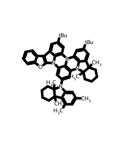 Cc1cc(C)c2c(c1)N(c1cc3c4c(c1)-n1c5oc6ccccc6c5c5cc(C(C)(C)C)cc(c51)B4c1cc(C(C)(C)C)cc4c1N3C1(C)CCCCC41C)C1(C)CCCCC21C